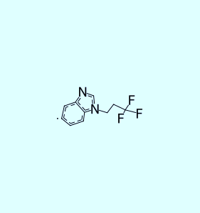 FC(F)(F)CCn1cnc2c[c]ccc21